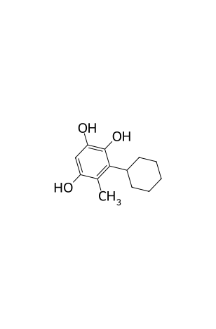 Cc1c(O)cc(O)c(O)c1C1CCCCC1